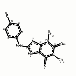 Cn1c(=S)c2[nH]c(Nc3ccc(F)cc3)nc2n(C)c1=O